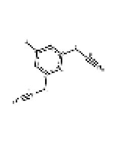 [C-]#[N+]Cc1cc(C)cc(CC#N)c1